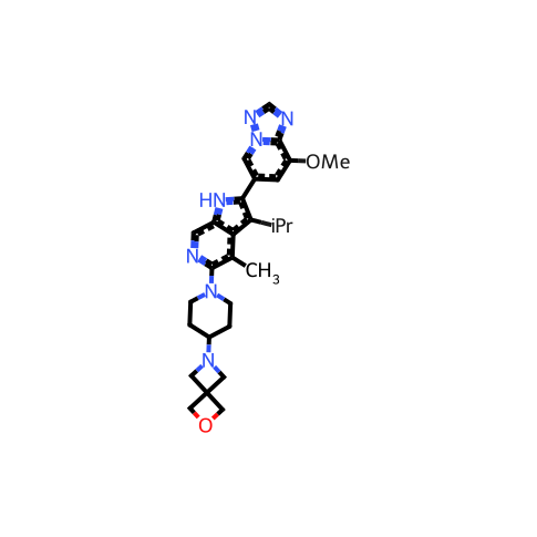 COc1cc(-c2[nH]c3cnc(N4CCC(N5CC6(COC6)C5)CC4)c(C)c3c2C(C)C)cn2ncnc12